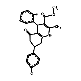 COC(=O)C1=C(C)NC2=C(C(=O)CC(c3ccc(Cl)cc3)C2)C1c1ccccc1F